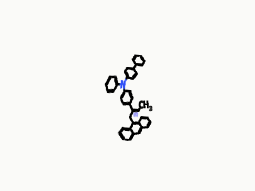 C/C=C(/Cc1c2ccccc2cc2ccccc12)c1ccc(N(c2ccccc2)c2ccc(-c3ccccc3)cc2)cc1